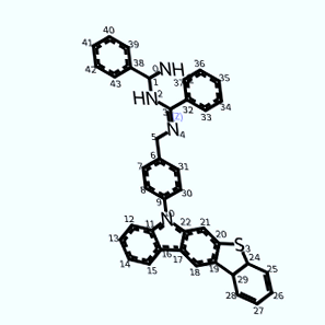 NC(N/C(=N\Cc1ccc(-n2c3ccccc3c3cc4c(cc32)SC2C=CC=CC42)cc1)c1ccccc1)c1ccccc1